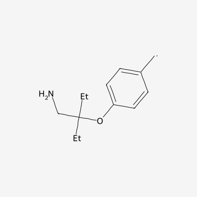 [CH2]c1ccc(OC(CC)(CC)CN)cc1